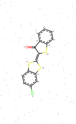 O=C1/C(=C2\Sc3ccc(Cl)cc3S2)Sc2ccccc21